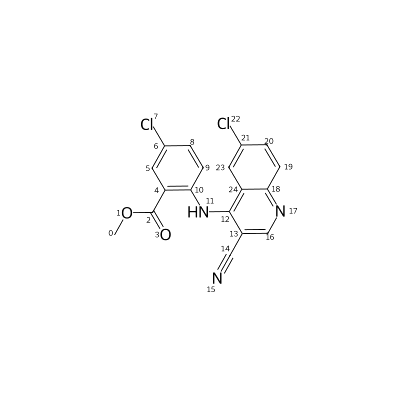 COC(=O)c1cc(Cl)ccc1Nc1c(C#N)cnc2ccc(Cl)cc12